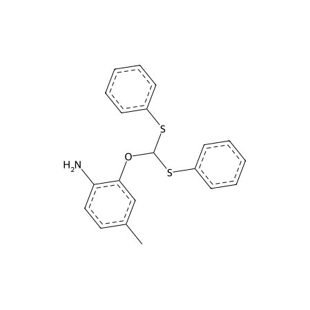 Cc1ccc(N)c(OC(Sc2ccccc2)Sc2ccccc2)c1